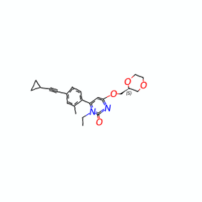 CCn1c(-c2ccc(C#CC3CC3)cc2C)cc(OC[C@@H]2COCCO2)nc1=O